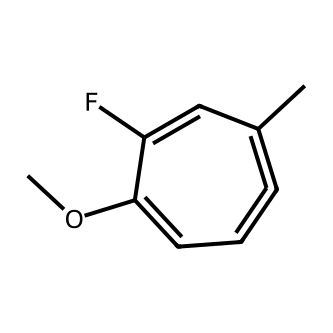 COC1=CC=C=C(C)C=C1F